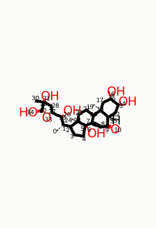 C[C@@H](C1CC[C@@]2(O)C3=CC(=O)[C@@H]4C[C@@H](O)[C@@H](O)C[C@]4(C)C3CC[C@]12C)[C@H](O)CCC(C)(O)C(=O)O